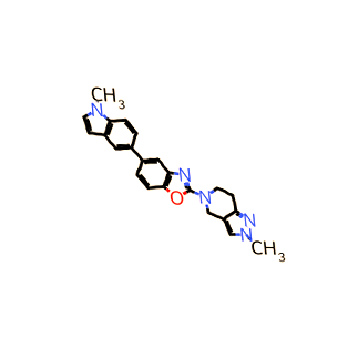 Cn1cc2c(n1)CCN(c1nc3cc(-c4ccc5c(ccn5C)c4)ccc3o1)C2